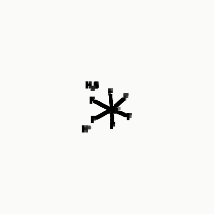 S.[F][Sb-]([F])([F])([F])([F])[F].[H+]